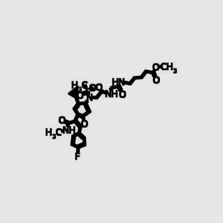 CNC(=O)c1c(-c2ccc(F)cc2)oc2cc(N(CC(=O)NCC(=O)NCCCCC(=O)OC)S(C)(=O)=O)c(C3CC3)cc12